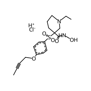 CC#CCOc1ccc(S(=O)(=O)C2(C(=O)NO)CCCN(CC)C2)cc1.[Cl-].[H+]